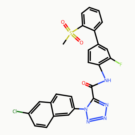 CS(=O)(=O)c1ccccc1-c1ccc(NC(=O)c2nnnn2-c2ccc3cc(Cl)ccc3c2)c(F)c1